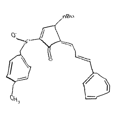 CCCCC1C=C([S+]([O-])c2ccc(C)cc2)C(=O)C1=CC=Cc1ccccc1